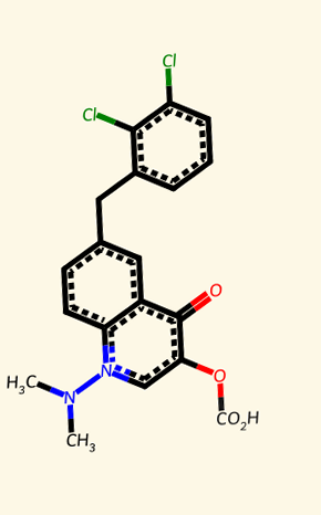 CN(C)n1cc(OC(=O)O)c(=O)c2cc(Cc3cccc(Cl)c3Cl)ccc21